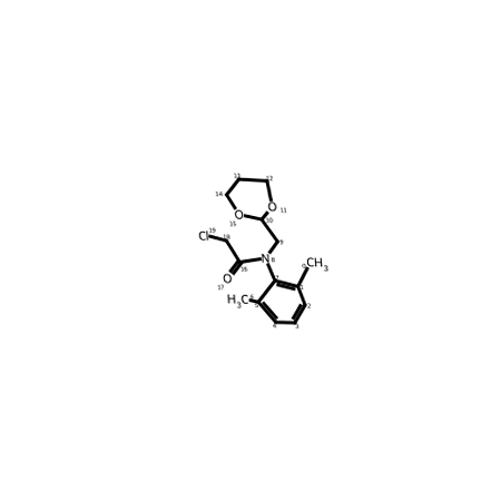 Cc1cccc(C)c1N(CC1OCCCO1)C(=O)CCl